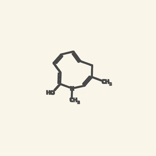 C/C1=C/N(C)/C(O)=C/C=C\C=C\C1